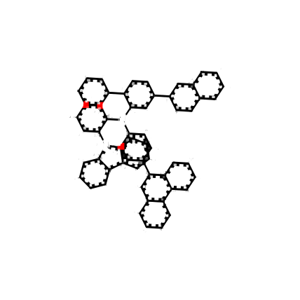 c1ccc(-c2ccc(-c3ccc4ccccc4c3)cc2N(c2ccc(-c3cc4ccccc4c4ccccc34)cc2)c2ccccc2-n2c3ccccc3c3ccccc32)cc1